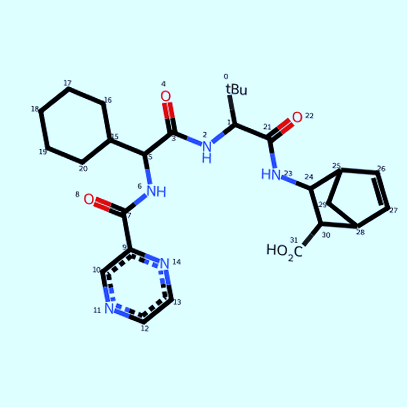 CC(C)(C)C(NC(=O)C(NC(=O)c1cnccn1)C1CCCCC1)C(=O)NC1C2C=CC(C2)C1C(=O)O